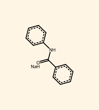 O=C(Nc1ccccc1)c1ccccc1.[NaH]